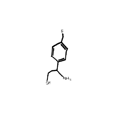 NC(CO)c1ccc(F)cc1